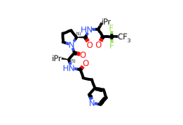 CC(C)C(NC(=O)[C@@H]1CCCN1C(=O)[C@@H](NC(=O)CCc1cccnc1)C(C)C)C(=O)C(F)(F)C(F)(F)F